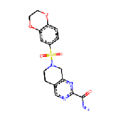 NC(=O)c1n[c]c2c(n1)CN(S(=O)(=O)c1ccc3c(c1)OCCO3)CC2